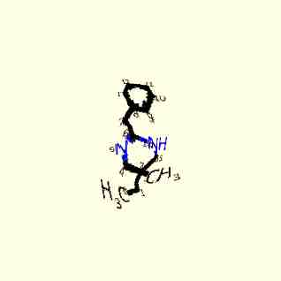 CCC1(C)CN=C(Cc2ccccc2)NC1